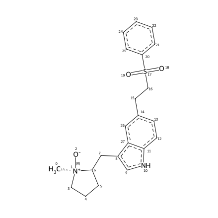 C[N@@+]1([O-])CCCC1Cc1c[nH]c2ccc(CCS(=O)(=O)c3ccccc3)cc12